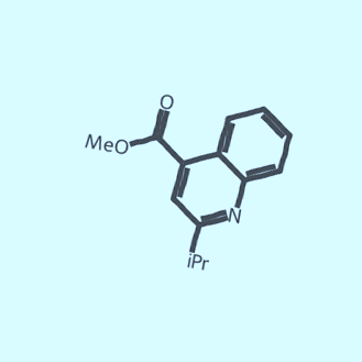 COC(=O)c1cc(C(C)C)nc2ccccc12